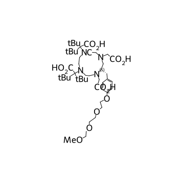 COCCOCCOCCOc1ccc(C[C@H]2CN(CC(=O)O)CCN(C(C(=O)O)(C(C)(C)C)C(C)(C)C)CCN(C(C(=O)O)(C(C)(C)C)C(C)(C)C)CCN2CC(=O)O)cc1